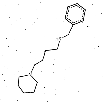 [CH]1CCN(CCCCNCc2ccccc2)CC1